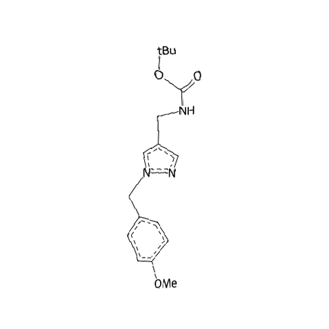 COc1ccc(Cn2cc(CNC(=O)OC(C)(C)C)cn2)cc1